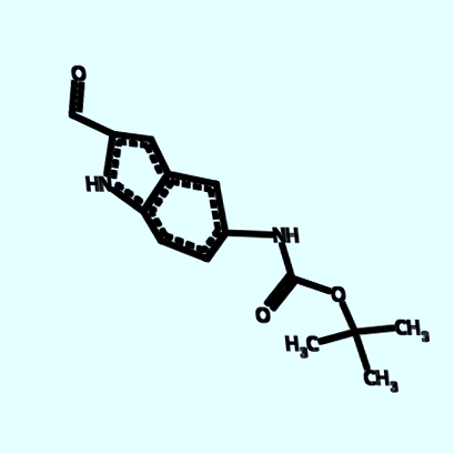 CC(C)(C)OC(=O)Nc1ccc2[nH]c(C=O)cc2c1